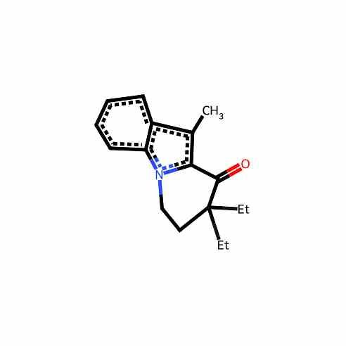 CCC1(CC)CCn2c(c(C)c3ccccc32)C1=O